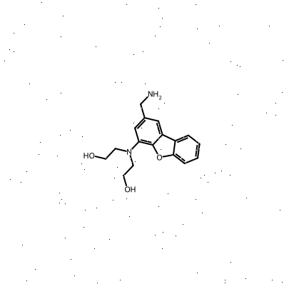 NCc1cc(N(CCO)CCO)c2oc3ccccc3c2c1